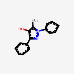 CCCCc1c(O)c(-c2ccccc2)nn1-c1ccccc1